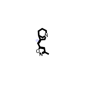 Cc1cc(/C=C2\CN3CCCC2C3)on1